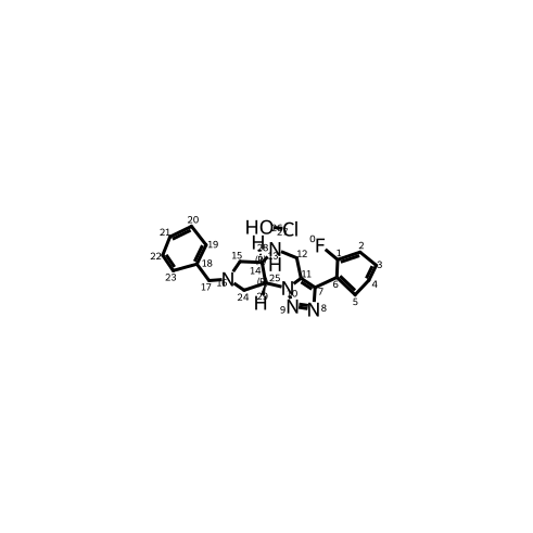 Fc1ccccc1-c1nnn2c1CN[C@@H]1CN(Cc3ccccc3)C[C@H]12.OCl